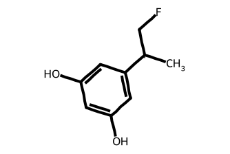 C[C](CF)c1cc(O)cc(O)c1